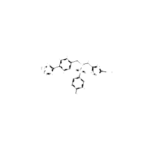 CC(C)(C)c1nc(CN(Cc2ccc(-c3nn[nH]n3)cc2)S(=O)(=O)c2ccc(Cl)cc2)no1